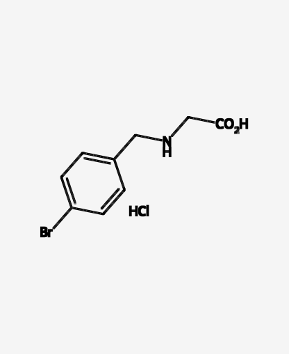 Cl.O=C(O)CNCc1ccc(Br)cc1